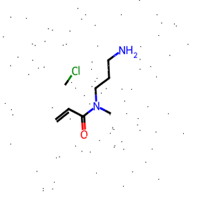 C=CC(=O)N(C)CCCN.CCl